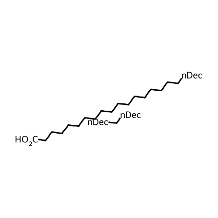 CCCCCCCCCCCCCCCCCCCCC.CCCCCCCCCCCCCCCCCCCCCCCCCCCC(=O)O